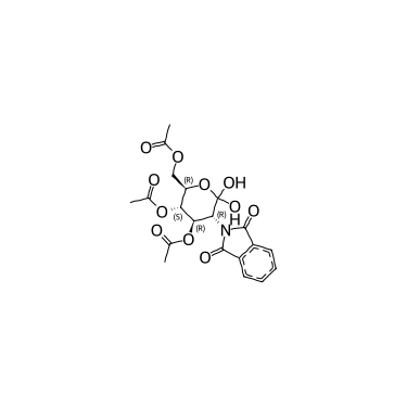 CC(=O)OC[C@H]1OC(O)(O)[C@H](N2C(=O)c3ccccc3C2=O)[C@@H](OC(C)=O)[C@@H]1OC(C)=O